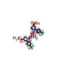 COC(=O)C1CCN(C(=O)OC)C(c2ccc(C(F)(F)F)cc2)C1.COC(=O)N1CCC(C(=O)O)CC1c1ccc(C(F)(F)F)cc1